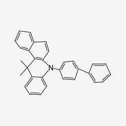 CC1(C)c2ccccc2N(c2ccc(-c3ccccc3)cc2)c2ccc3ccccc3c21